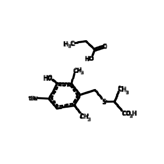 CCC(=O)O.Cc1cc(C(C)(C)C)c(O)c(C)c1CSC(C)C(=O)O